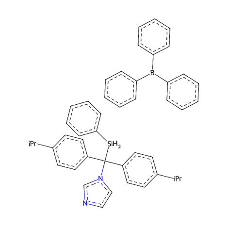 CC(C)c1ccc(C([SiH2]c2ccccc2)(c2ccc(C(C)C)cc2)n2ccnc2)cc1.c1ccc(B(c2ccccc2)c2ccccc2)cc1